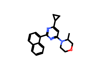 CC1COCCN1c1cc(C2CC2)nc(-c2cccc3ccccc23)n1